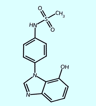 CS(=O)(=O)Nc1ccc(-n2cnc3cccc(O)c32)cc1